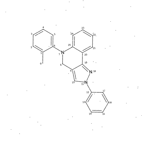 Cc1ccccc1N1Cc2cn(-c3ccccc3)nc2-c2ccccc21